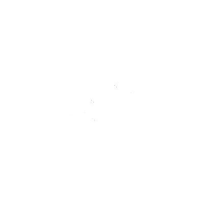 CN(C)C1CCN(c2c[c]ccc2N)CC1